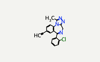 C#Cc1ccc2c(c1)C(c1ccccc1Cl)=NCc1nnc(C)n1-2